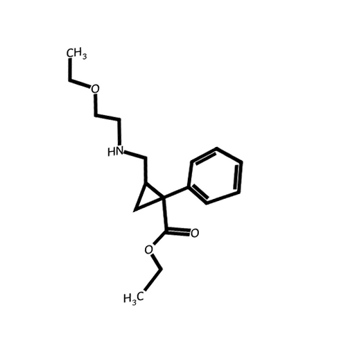 CCOCCNCC1CC1(C(=O)OCC)c1ccccc1